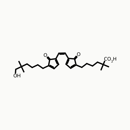 CC(C)(CO)CCCCC1=CC=C(/C=C\C2=CC=C(CCCCC(C)(C)C(=O)O)C2=O)C1=O